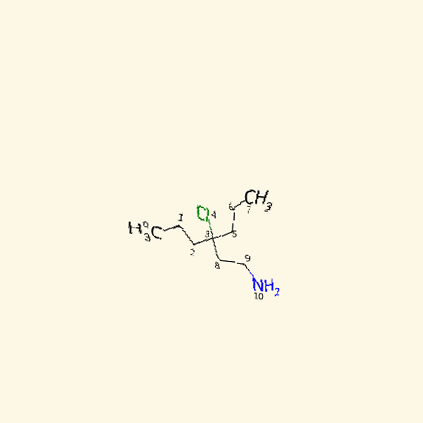 CCCC(Cl)(CCC)CCN